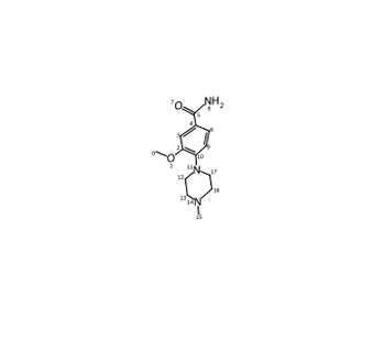 COc1cc(C(N)=O)ccc1N1CCN(C)CC1